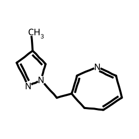 Cc1cnn(CC2=CN=CC=CC2)c1